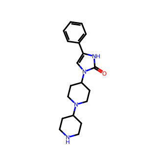 O=c1[nH]c(-c2ccccc2)cn1C1CCN(C2CCNCC2)CC1